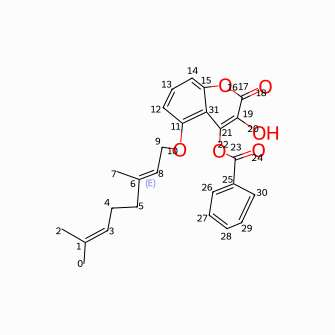 CC(C)=CCC/C(C)=C/COc1cccc2oc(=O)c(O)c(OC(=O)c3ccccc3)c12